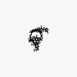 C/C1=C/C=C/C(C)[C@H](O)[C@@H](C)[C@@H](O)C[C@H](OC(=O)C(C)C(=O)OC2CCN(C)C2)[C@H](C)C/C=C/OC2(C)Oc3c(C)c(O)c4c(c3C2=O)C2=NC3(CCN(CC(C)C)CC3)NC2=C(NC1=O)C4=O